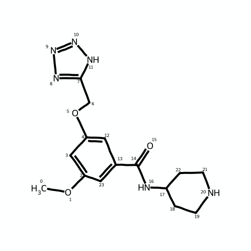 COc1cc(OCc2nnn[nH]2)cc(C(=O)NC2CCNCC2)c1